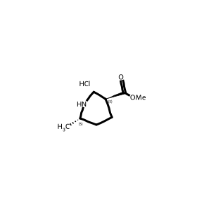 COC(=O)[C@H]1CC[C@H](C)NC1.Cl